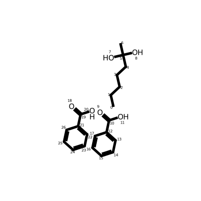 CCCCCC(C)(O)O.O=C(O)c1ccccc1.O=C(O)c1ccccc1